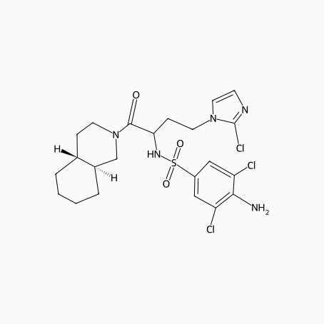 Nc1c(Cl)cc(S(=O)(=O)NC(CCn2ccnc2Cl)C(=O)N2CC[C@H]3CCCC[C@@H]3C2)cc1Cl